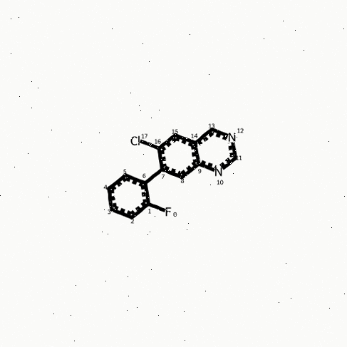 Fc1ccccc1-c1cc2ncncc2cc1Cl